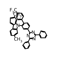 Cc1ccc2c3ccc(C)cc3n(-c3cc(-c4nc(-c5ccccc5)nc(-c5ccccc5)n4)ccc3-c3ccc(C(F)(F)F)cc3)c2c1